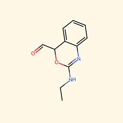 CCNC1=Nc2ccccc2C(C=O)O1